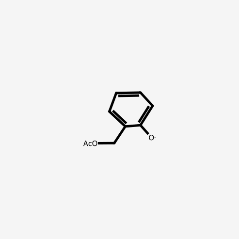 CC(=O)OCc1ccccc1[O]